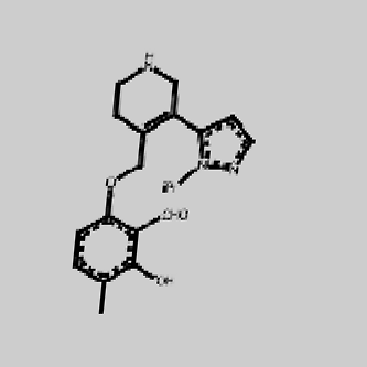 Cc1ccc(OCC2=C(c3ccnn3C(C)C)CNCC2)c(C=O)c1O